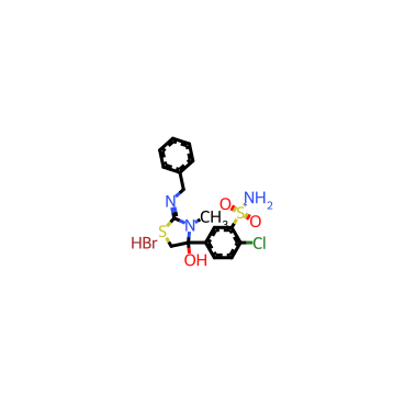 Br.CN1C(=NCc2ccccc2)SCC1(O)c1ccc(Cl)c(S(N)(=O)=O)c1